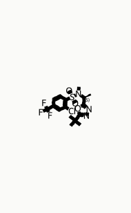 C[C@@H](c1nnc(C(C)(C)C)o1)N(C)S(=O)(=O)c1ccc(C(F)(F)F)cc1Cl